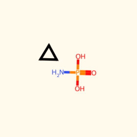 C1CC1.NP(=O)(O)O